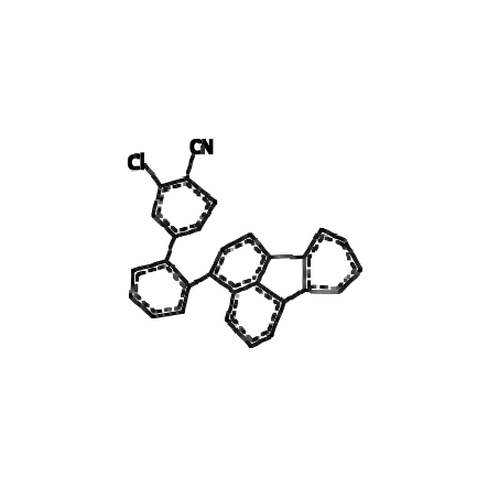 N#Cc1ccc(-c2ccccc2-c2ccc3c4c(cccc24)-c2ccccc2-3)cc1Cl